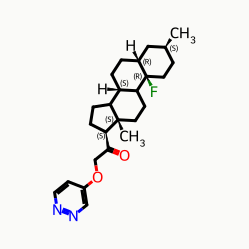 C[C@H]1CC[C@]2(F)C3CC[C@@]4(C)C(CC[C@@H]4C(=O)COc4ccnnc4)[C@@H]3CC[C@@H]2C1